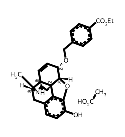 CC(=O)O.CCOC(=O)c1ccc(CO[C@H]2C=C[C@H]3[C@H]4Cc5ccc(O)c6c5[C@@]3(CCN4C)[C@H]2O6)cc1